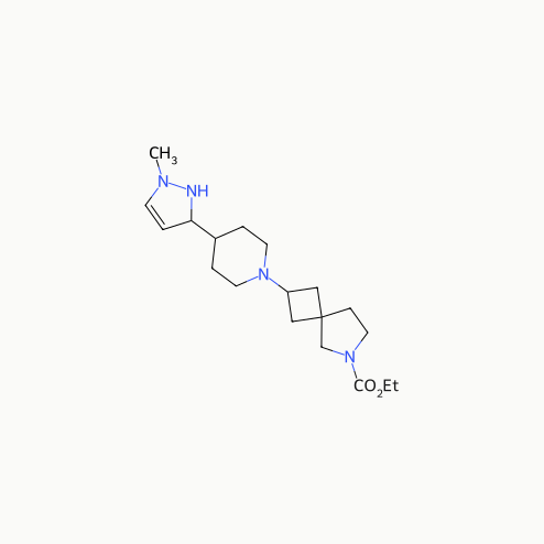 CCOC(=O)N1CCC2(CC(N3CCC(C4C=CN(C)N4)CC3)C2)C1